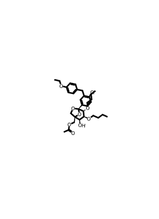 CCCCO[C@H]1[C@@H](O)[C@]2(COC(C)=O)CO[C@@](c3ccc(Cl)c(Cc4ccc(OCC)cc4)c3)(O2)[C@@H]1OCCCC